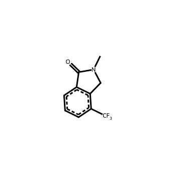 CN1Cc2c(cccc2C(F)(F)F)C1=O